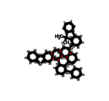 CC1(C)c2ccccc2-c2cccc(-c3ccc(N(c4ccc5c(c4)oc4ccccc45)c4cccc(-c5ccccc5)c4-c4ccccc4-c4ccccc4)cc3)c21